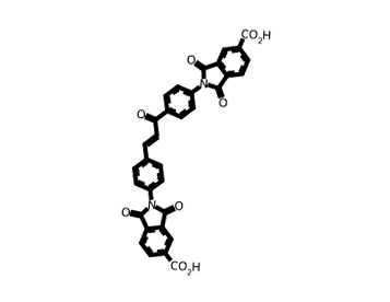 O=C(O)c1ccc2c(c1)C(=O)N(c1ccc(C=CC(=O)c3ccc(N4C(=O)c5ccc(C(=O)O)cc5C4=O)cc3)cc1)C2=O